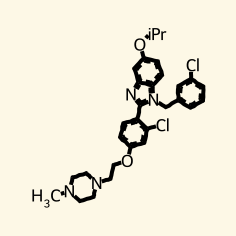 CC(C)Oc1ccc2c(c1)nc(-c1ccc(OCCN3CCN(C)CC3)cc1Cl)n2Cc1cccc(Cl)c1